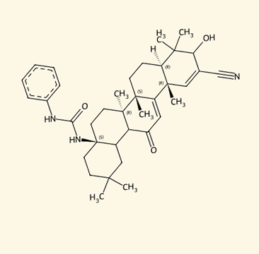 CC1(C)CC[C@]2(NC(=O)Nc3ccccc3)CC[C@]3(C)C(C(=O)C=C4[C@@]5(C)C=C(C#N)C(O)C(C)(C)[C@@H]5CC[C@]43C)C2C1